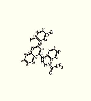 O=C(Nc1cnccc1Nc1cc(-c2cc(Cl)ccc2F)nc2ccccc12)C(F)(F)F